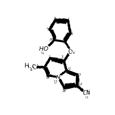 Cc1cc(Oc2ccccc2O)c2cc(C#N)cn2c1